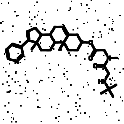 CN(CC(=O)OC1CCC2(C)C(=CCC3C2CCC2(C)C(c4cccnc4)=CCC32)C1)C(=O)CNC(C)(C)C